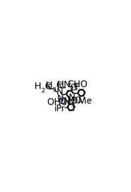 C=CCCN(/C(=N/C)c1cc(Cl)c(-c2c(O)cccc2F)nc1N(C=O)c1c(OC)cccc1C(C)C)C(C)CNC=O